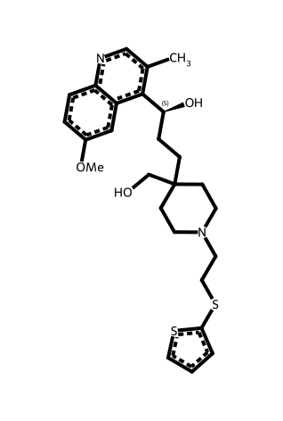 COc1ccc2ncc(C)c([C@@H](O)CCC3(CO)CCN(CCSc4cccs4)CC3)c2c1